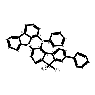 CC1(C)c2cc(-c3ccccc3)ccc2-c2c1ccc1c2P(c2ccccc2)c2cccc3c4ccccc4n-1c23